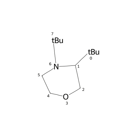 CC(C)(C)C1COCCN1C(C)(C)C